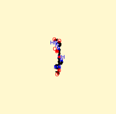 O=C1COc2ccc(-n3cc(CCNCc4cc(-c5cncc(OC6COC6)n5)ccn4)oc3=O)nc2N1